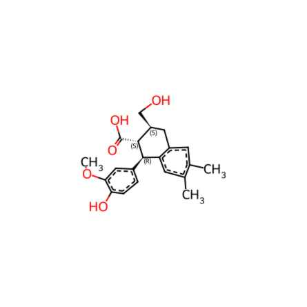 COc1cc([C@@H]2c3cc(C)c(C)cc3C[C@H](CO)[C@H]2C(=O)O)ccc1O